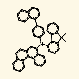 CC1(C)c2ccccc2-c2c(N(c3ccc(-c4cccc5ccccc45)cc3)c3cc4ccc5ccccc5c4c4ccccc34)cccc21